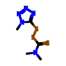 CN(C)C(=S)SSc1nnnn1C